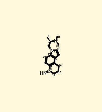 C[C@H](Cn1ccc2c3c(ccc21)S(=N)CCC3)N(C)C